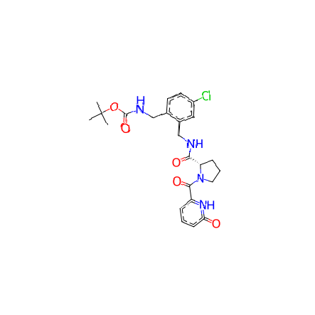 CC(C)(C)OC(=O)NCc1ccc(Cl)cc1CNC(=O)[C@@H]1CCCN1C(=O)c1cccc(=O)[nH]1